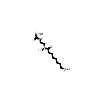 CCCCCCCCCCCCCCCCCC(=O)N(O)CCNC(=O)CCCCC